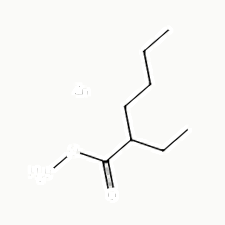 BOC(=O)C(CC)CCCC.[Zn]